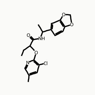 CCC(Oc1ncc(C)cc1Cl)C(=O)NC(C)c1ccc2c(c1)OCO2